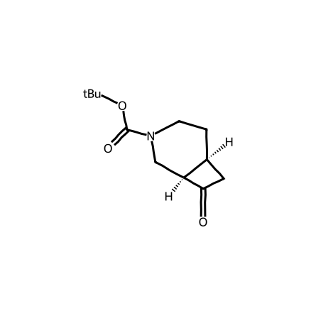 CC(C)(C)OC(=O)N1CC[C@H]2CC(=O)[C@H]2C1